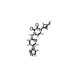 O=c1c(=O)n(C23CC(F)(C2)C3)ccn1Cc1ccc(-n2ccnn2)cn1